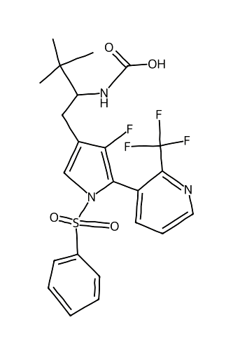 CC(C)(C)C(Cc1cn(S(=O)(=O)c2ccccc2)c(-c2cccnc2C(F)(F)F)c1F)NC(=O)O